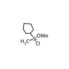 CO[Si](C)(Cl)C1CCCCC1